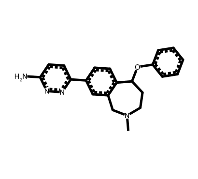 CN1CCC(Oc2ccccc2)c2ccc(-c3ccc(N)nn3)cc2C1